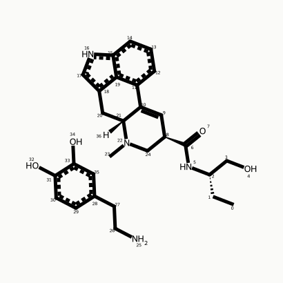 CC[C@@H](CO)NC(=O)[C@@H]1C=C2c3cccc4[nH]cc(c34)C[C@H]2N(C)C1.NCCc1ccc(O)c(O)c1